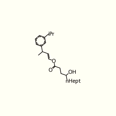 CCCCCCCC(O)CCC(=O)OC=CC(C)c1cccc(C(C)C)c1